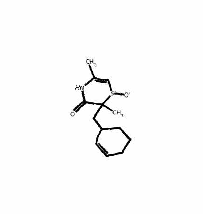 CC1=C[S+]([O-])C(C)(CC2C=CCCC2)C(=O)N1